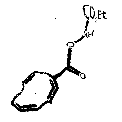 CCOC(=O)NOC(=O)c1ccccc1